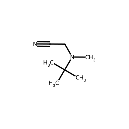 CN(CC#N)C(C)(C)C